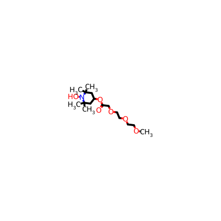 COCCOCCOCC(=O)OC1CC(C)(C)N(O)C(C)(C)C1